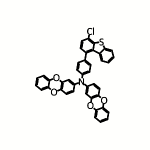 Clc1ccc(-c2ccc(N(c3ccc4c(c3)Oc3ccccc3O4)c3ccc4c(c3)Oc3ccccc3O4)cc2)c2c1sc1ccccc12